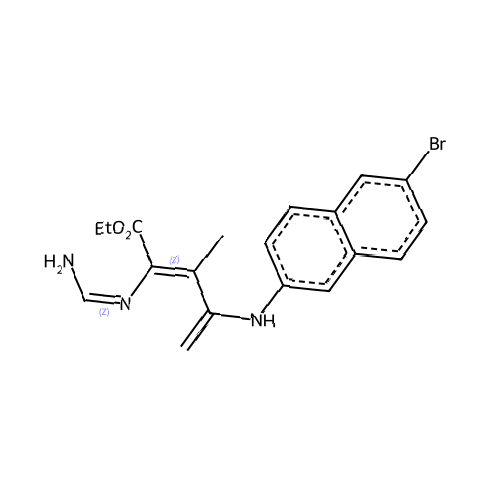 C=C(Nc1ccc2cc(Br)ccc2c1)/C(C)=C(\N=C/N)C(=O)OCC